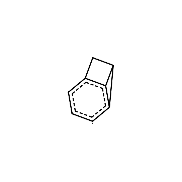 [c]1ccc2c3c1C3C2